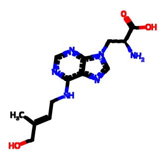 C/C(=C\CNc1ncnc2c1ncn2C[C@H](N)C(=O)O)CO